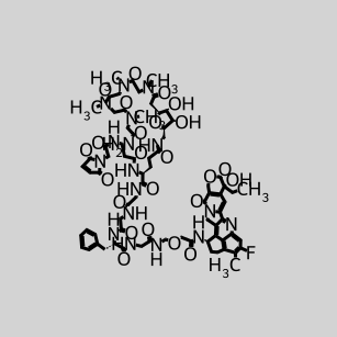 CC[C@@]1(O)C(=O)OCc2c1cc1n(c2=O)Cc2c-1nc1cc(F)c(C)c3c1c2[C@@H](NC(=O)COCNC(=O)CNC(=O)[C@H](Cc1ccccc1)NC(=O)CNC(=O)CNC(=O)[C@H](CCC(=O)NC[C@H]1O[C@@H](CC(=O)N(C)CC(=O)N(C)CC(=O)N(C)CC(=O)N(C)CC(N)=O)[C@H](O)[C@@H]1O)NC(=O)CCNC(=O)CN1C(=O)C=CC1=O)CC3